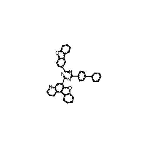 c1ccc(-c2ccc(-c3nc(-c4ccc5oc6ccccc6c5c4)nc(-c4cc5ncccc5c5c4oc4ccccc45)n3)cc2)cc1